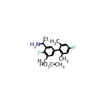 CC(=O)O.CC[C@H](N)c1cc(-c2c(C)cc(F)cc2C)cc(C)c1F